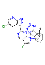 Fc1cn([C@@H]2C3CCC(CC3)[C@H]2c2nnn[nH]2)c2nc(-c3n[nH]c4ncc(Cl)cc34)ncc12